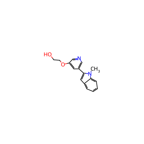 Cn1c(-c2cncc(OCCO)c2)cc2ccccc21